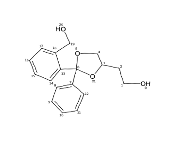 OCCC1COC(c2ccccc2)(c2ccccc2CO)O1